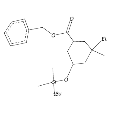 CCC1(C)CC(O[Si](C)(C)C(C)(C)C)CC(C(=O)OCc2ccccc2)C1